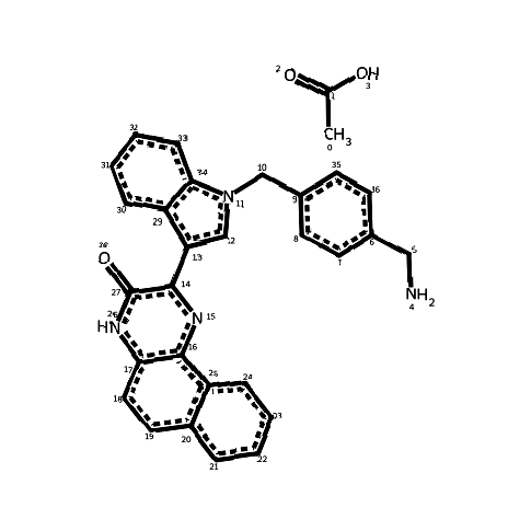 CC(=O)O.NCc1ccc(Cn2cc(-c3nc4c(ccc5ccccc54)[nH]c3=O)c3ccccc32)cc1